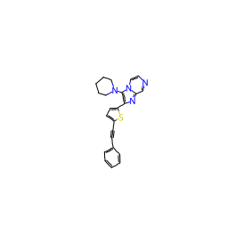 C(#Cc1ccc(-c2nc3cnccn3c2N2CCCCC2)s1)c1ccccc1